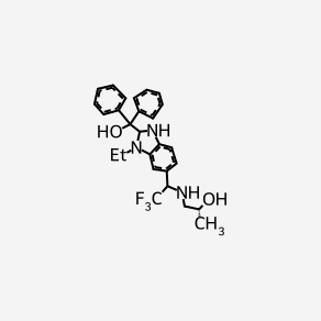 CCN1c2cc(C(NC[C@@H](C)O)C(F)(F)F)ccc2NC1C(O)(c1ccccc1)c1ccccc1